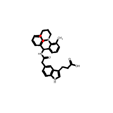 Cc1cccc(C(NC(=O)Cc2ccc3[nH]cc(CCC(=O)O)c3c2)c2ccccc2)c1N1CCCCC1